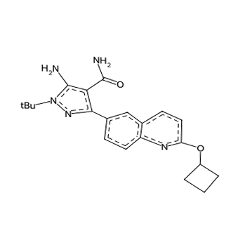 CC(C)(C)n1nc(-c2ccc3nc(OC4CCC4)ccc3c2)c(C(N)=O)c1N